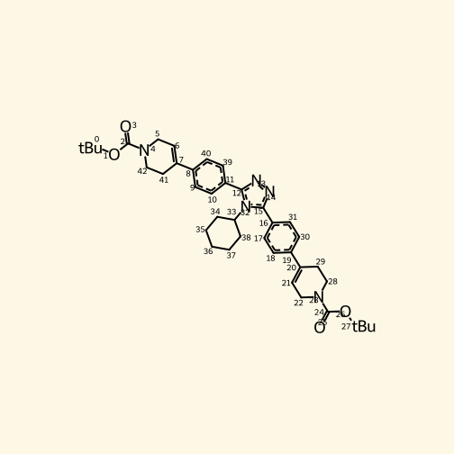 CC(C)(C)OC(=O)N1CC=C(c2ccc(-c3nnc(-c4ccc(C5=CCN(C(=O)OC(C)(C)C)CC5)cc4)n3C3CCCCC3)cc2)CC1